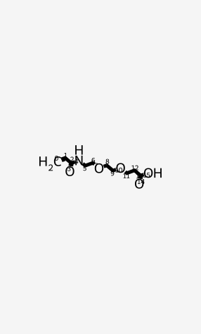 C=CC(=O)NCCOCCOCCC(=O)O